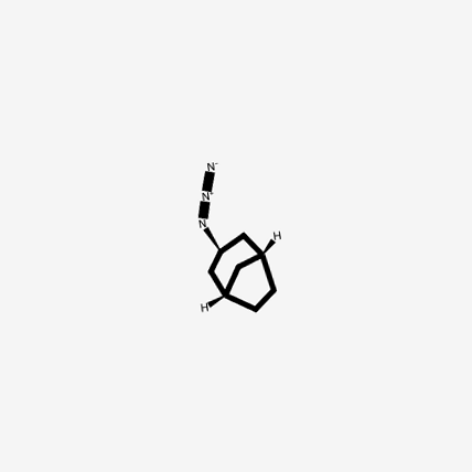 [N-]=[N+]=N[C@H]1C[C@@H]2CC[C@@H](C2)C1